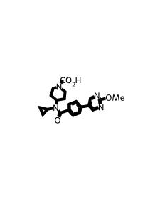 COc1ncc(-c2ccc(C(=O)N(C3CC3)C3CCN(C(=O)O)CC3)cc2)cn1